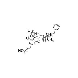 CN(CC(O)CNC(C)(C)CCCc1ccccc1)S(=O)(=O)c1c(Cl)cc(CCC(=O)O)cc1Cl